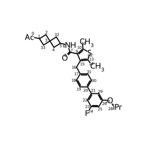 CC(=O)C1CC2(CC(NC(=O)c3c(C)sc(C)c3Cc3ccc(-c4cc(F)cc(OC(C)C)c4)cc3)C2)C1